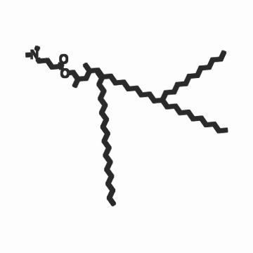 CCCCCCCCCCCCCCCCCC/C(=C\C(C)CC(C)COC(=O)CCCN(C)C)CCCCCCCCC(CCCCCCCCCC)CCCCCCCCCCC